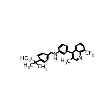 Cc1cnc2c(C(F)(F)F)cccc2c1-c1cccc(NCc2ccc(C(C)(C)C(=O)O)cc2)c1